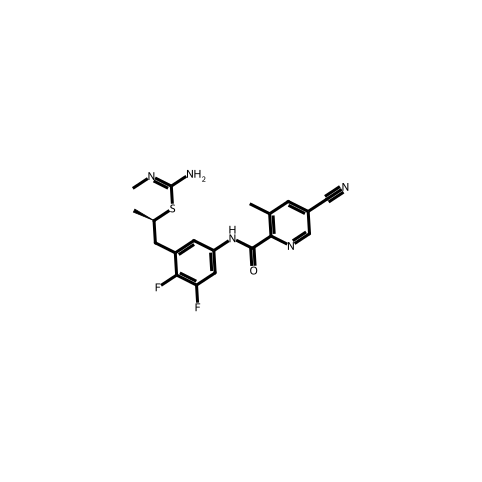 C/N=C(/N)S[C@H](C)Cc1cc(NC(=O)c2ncc(C#N)cc2C)cc(F)c1F